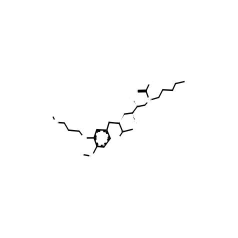 CCCCCN(C[C@H](O)[C@@H](N)C[C@H](Cc1ccc(OC)c(OCCCOC)c1)C(C)C)C(=O)O